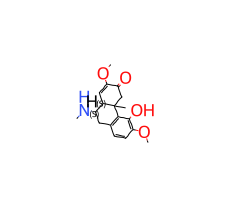 CN[C@H]1Cc2ccc(OC)c(O)c2C2(C)CC(=O)C(OC)=C[C@H]12